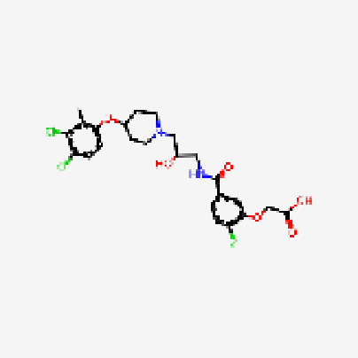 Cc1c(OC2CCN(C[C@H](O)CNC(=O)c3ccc(Cl)c(OCC(=O)O)c3)CC2)ccc(Cl)c1Cl